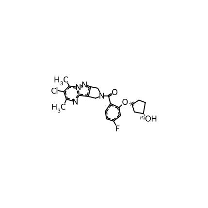 Cc1nc2c3c(nn2c(C)c1Cl)CN(C(=O)c1ccc(F)cc1O[C@@H]1CC[C@H](O)C1)C3